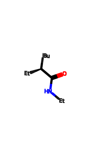 CCNC(=O)[C@@H](CC)C(C)CC